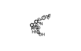 CCC(F)(CC)CN1CCC(COc2ccc(-c3cccc(F)c3C(=O)NC(=O)[C@@H]3C[C@@H](O)CN3)cc2C#N)CC1